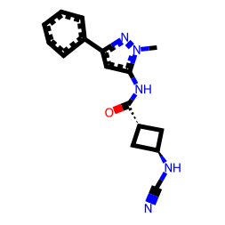 Cn1nc(-c2ccccc2)cc1NC(=O)[C@H]1C[C@H](NC#N)C1